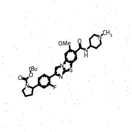 COc1cc2c(cc1C(=O)NC1CCN(C)CC1)sc1nc(-c3ccc(C4CCCN4C(=O)OC(C)(C)C)cc3F)cn12